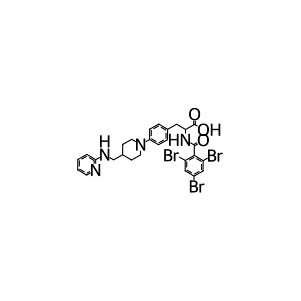 O=C(NC(Cc1ccc(N2CCC(CNc3ccccn3)CC2)cc1)C(=O)O)c1c(Br)cc(Br)cc1Br